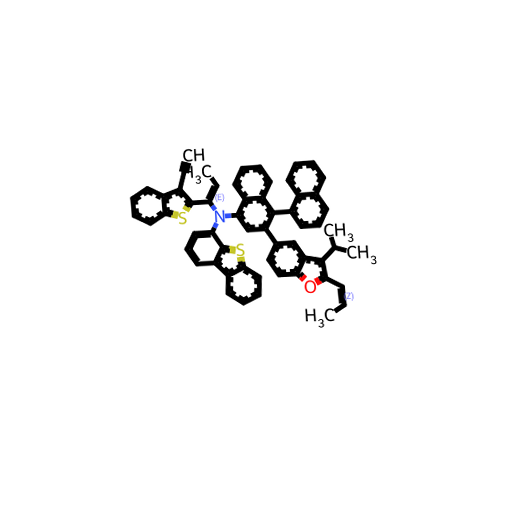 C#Cc1c(/C(=C\C)N(C2=C=C=Cc3c2sc2ccccc32)c2cc(-c3ccc4oc(/C=C\C)c(C(C)C)c4c3)c(-c3cccc4ccccc34)c3ccccc23)sc2ccccc12